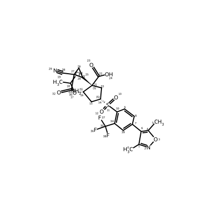 Cc1noc(C)c1-c1ccc(S(=O)(=O)[C@@H]2C[C@H](OC(C)C)[C@@](C(=O)O)(C3CC3(C#N)C(N)=O)C2)c(C(F)(F)F)c1